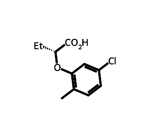 CC[C@@H](Oc1cc(Cl)ccc1C)C(=O)O